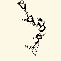 CC(C)(C)OC(=O)N1C[C@@H]2C[C@H]1CN2c1ccc2ncnc(Nc3ccc(OC[C@@H]4CCOC4)c(Cl)c3)c2n1